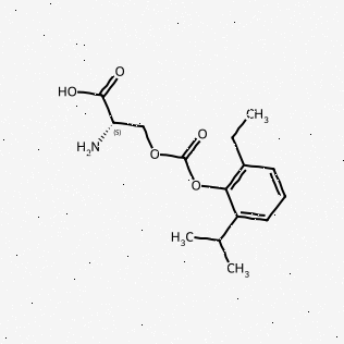 CCc1cccc(C(C)C)c1OC(=O)OC[C@H](N)C(=O)O